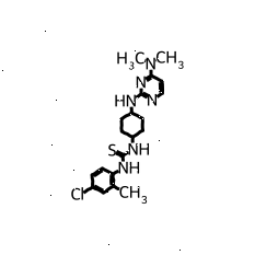 Cc1cc(Cl)ccc1NC(=S)NC1CCC(Nc2nccc(N(C)C)n2)CC1